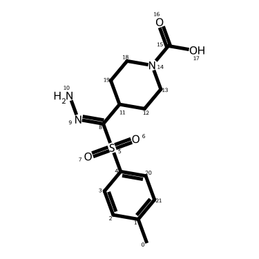 Cc1ccc(S(=O)(=O)/C(=N/N)C2CCN(C(=O)O)CC2)cc1